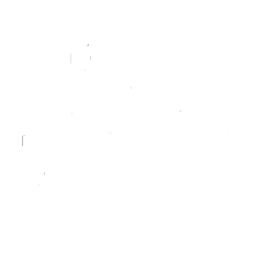 C=C[Si](C=C)(OC(C)C)C1CCCCC1